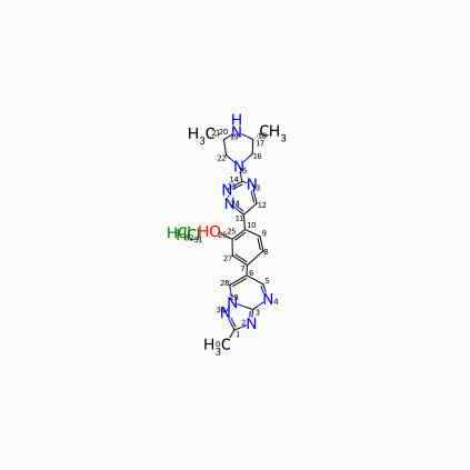 Cc1nc2ncc(-c3ccc(-c4cnc(N5C[C@@H](C)N[C@@H](C)C5)nn4)c(O)c3)cn2n1.Cl.Cl